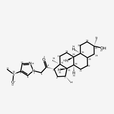 C[C@@H]1C[C@H](C(=O)Cn2cc([S+](C)[O-])cn2)[C@@]2(C)CC[C@H]3[C@@H](CCC4C[C@](C)(O)CC[C@@H]43)[C@H]12